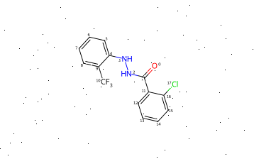 O=C(NNc1ccccc1C(F)(F)F)c1ccccc1Cl